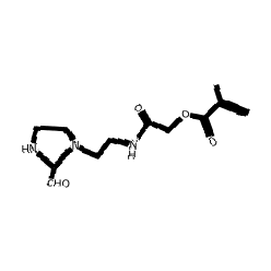 C=C(C)C(=O)OCC(=O)NCCN1CCNC1C=O